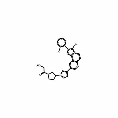 CC(C)c1c(-c2ccccc2Cl)nc2c3cc(-c4cnn([C@H]5CCN(C(=O)CO)C5)c4)cnc3ccn12